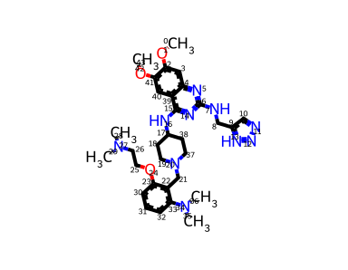 COc1cc2nc(NCc3cnn[nH]3)nc(NC3CCN(Cc4c(OCCN(C)C)cccc4N(C)C)CC3)c2cc1OC